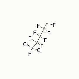 FCC(F)(F)C(F)(F)C(F)(F)C(F)(Cl)Cl